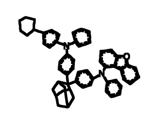 c1ccc(N(c2ccc(C3CCCCC3)cc2)c2ccc(C3(c4ccc(N(c5ccccc5)c5cccc6oc7ccccc7c56)cc4)C4CC5CC(C4)CC3C5)cc2)cc1